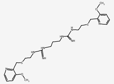 COc1cccnc1CSCCNC(=N)NCCCNC(=N)NCCSCc1ncccc1OC